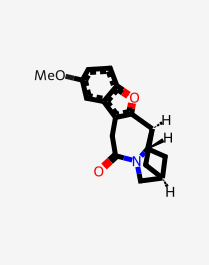 COc1ccc2oc3c(c2c1)CC(=O)N1C[C@H]2C[C@@H]3[C@@H]1C2